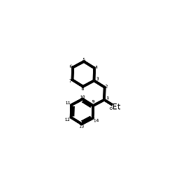 [CH2]CC(CC1CCCCC1)c1ccccc1